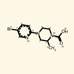 CC1CN(c2ccc(Br)cn2)CCN1C(=O)O